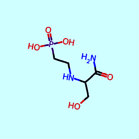 NC(=O)C(CO)NCCP(=O)(O)O